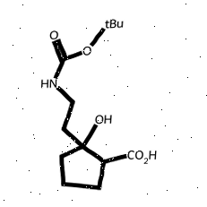 CC(C)(C)OC(=O)NCCC1(O)CCCC1C(=O)O